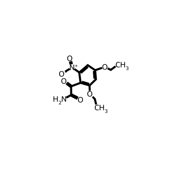 CCOc1cc(OCC)c(C(=O)C(N)=O)c([N+](=O)[O-])c1